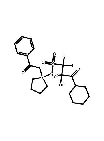 O=C(CS1(OS(=O)(=O)C(F)(F)C(O)(C(=O)C2CCCCC2)C(F)(F)F)CCCC1)c1ccccc1